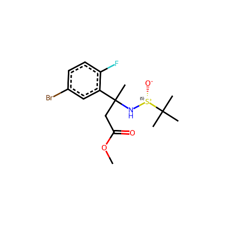 COC(=O)CC(C)(N[S@+]([O-])C(C)(C)C)c1cc(Br)ccc1F